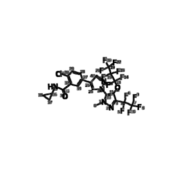 Cn1nc(C(F)(F)C(F)(F)F)c(OC(F)(F)C(F)(F)C(F)(F)F)c1-n1cc(-c2ccc(Cl)c(C(=O)NC3CC3)c2)cn1